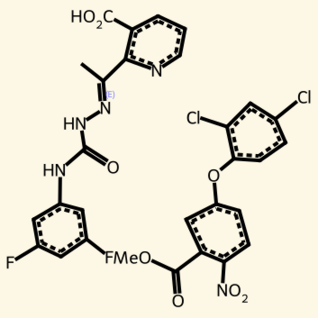 C/C(=N\NC(=O)Nc1cc(F)cc(F)c1)c1ncccc1C(=O)O.COC(=O)c1cc(Oc2ccc(Cl)cc2Cl)ccc1[N+](=O)[O-]